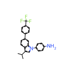 CC(C)c1cn(-c2ccc(N)cc2)c2cc(-c3ccc(C(F)(F)F)cc3)ccc12